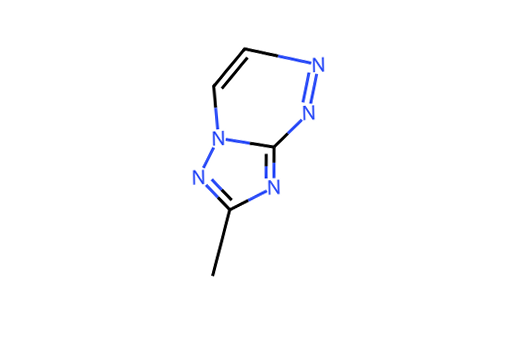 Cc1nc2nnccn2n1